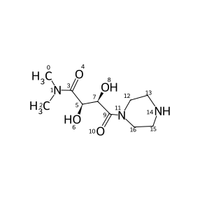 CN(C)C(=O)[C@H](O)[C@@H](O)C(=O)N1CCNCC1